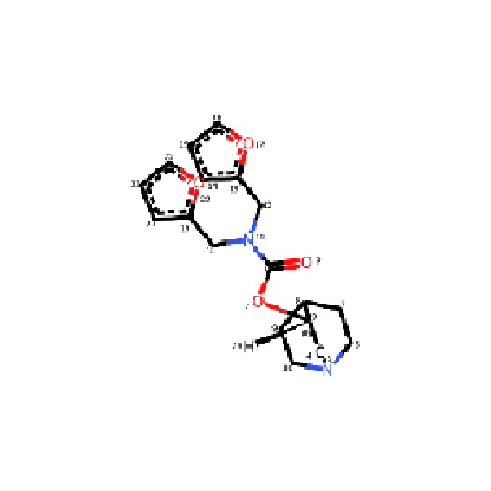 O=C(O[C@H]1CN2CCC1CC2)N(Cc1ccco1)Cc1ccco1